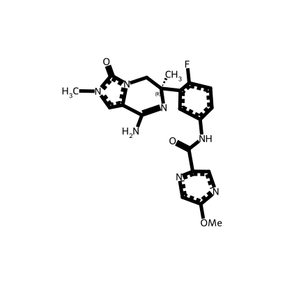 COc1cnc(C(=O)Nc2ccc(F)c([C@]3(C)Cn4c(cn(C)c4=O)C(N)=N3)c2)cn1